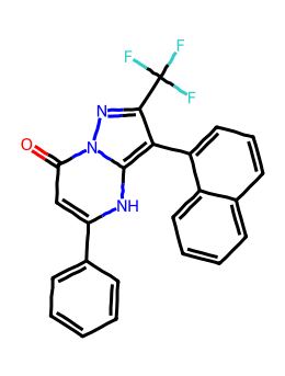 O=c1cc(-c2ccccc2)[nH]c2c(-c3cccc4ccccc34)c(C(F)(F)F)nn12